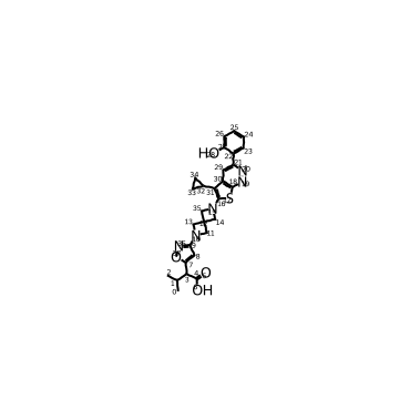 CC(C)C(C(=O)O)c1cc(N2CC3(C2)CN(c2sc4nnc(-c5ccccc5O)cc4c2C2CC2)C3)no1